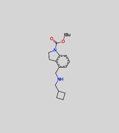 CC(C)(C)OC(=O)N1CCc2c(CNCC3CCC3)cccc21